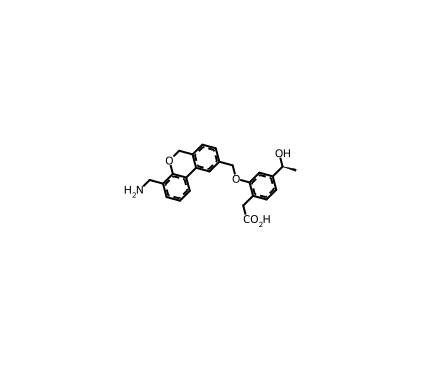 C[C@H](O)c1ccc(CC(=O)O)c(OCc2ccc3c(c2)-c2cccc(CN)c2OC3)c1